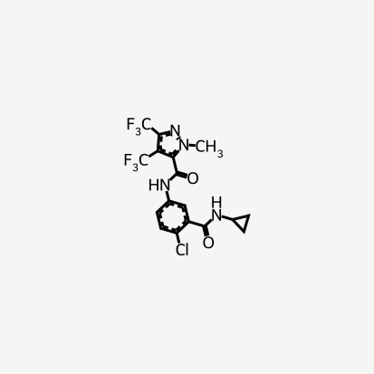 Cn1nc(C(F)(F)F)c(C(F)(F)F)c1C(=O)Nc1ccc(Cl)c(C(=O)NC2CC2)c1